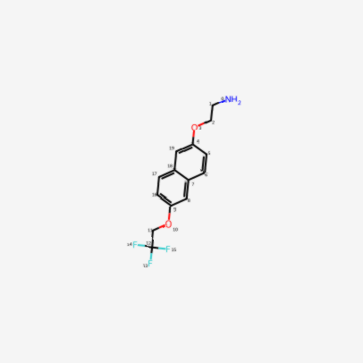 NCCOc1ccc2cc(OCC(F)(F)F)ccc2c1